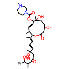 CCC(O)C(C)C1OC1CC(C)(O)C=C/C=C(\C)C1OC(=O)CC(O)CCC(C)(O)C(OC(=O)N2CCCN(C)CC2)/C=C/C1C